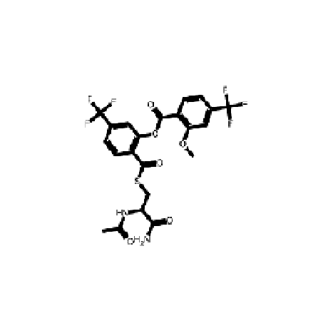 COc1cc(C(F)(F)F)ccc1C(=O)Oc1cc(C(F)(F)F)ccc1C(=O)SCC(NC(C)=O)C(N)=O